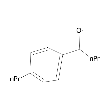 CCCc1ccc(C([O])CCC)cc1